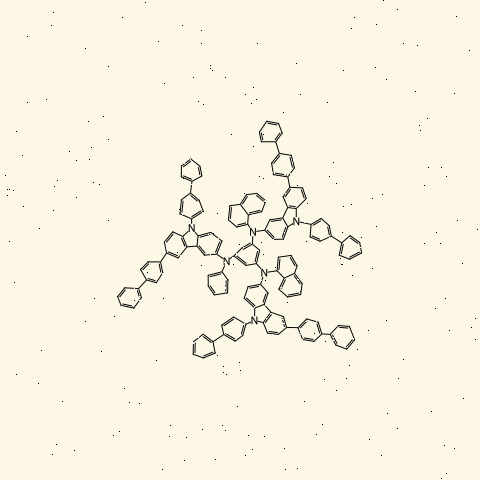 c1ccc(-c2ccc(-c3ccc4c(c3)c3cc(N(c5ccccc5)c5cc(N(c6ccc7c(c6)c6cc(-c8ccc(-c9ccccc9)cc8)ccc6n7-c6ccc(-c7ccccc7)cc6)c6cccc7ccccc67)cc(N(c6ccc7c(c6)c6cc(-c8ccc(-c9ccccc9)cc8)ccc6n7-c6ccc(-c7ccccc7)cc6)c6cccc7ccccc67)c5)ccc3n4-c3ccc(-c4ccccc4)cc3)cc2)cc1